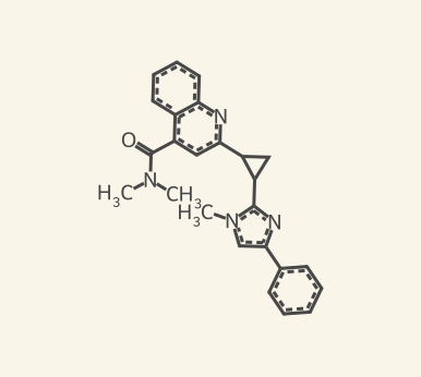 CN(C)C(=O)c1cc(C2CC2c2nc(-c3ccccc3)cn2C)nc2ccccc12